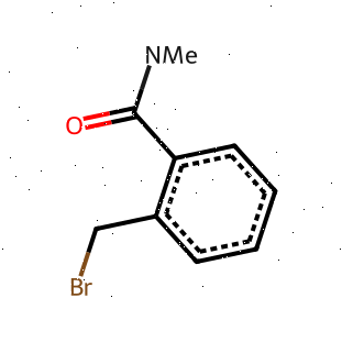 CNC(=O)c1ccccc1CBr